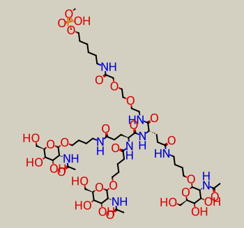 COP(=O)(O)OCCCCCCNC(=O)COCCOCCNC(=O)[C@H](CCC(=O)NCCCCO[C@@H]1O[C@H](CO)[C@H](O)[C@H](O)[C@H]1NC(C)=O)NC(=O)[C@H](CCC(=O)NCCCCO[C@@H]1O[C@H](CO)[C@H](O)[C@H](O)[C@H]1NC(C)=O)NC(=O)CCCCO[C@@H]1O[C@H](CO)[C@H](O)[C@H](O)[C@H]1NC(C)=O